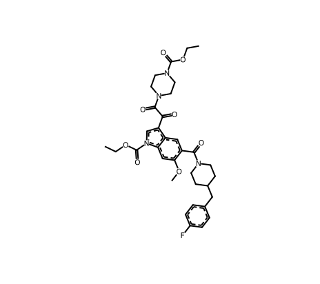 CCOC(=O)N1CCN(C(=O)C(=O)c2cn(C(=O)OCC)c3cc(OC)c(C(=O)N4CCC(Cc5ccc(F)cc5)CC4)cc23)CC1